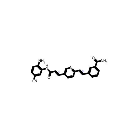 N#Cc1ccc(N)c(NC(=O)/C=C/c2ccc(/C=C/c3cccc(C(N)=O)c3)nc2)c1